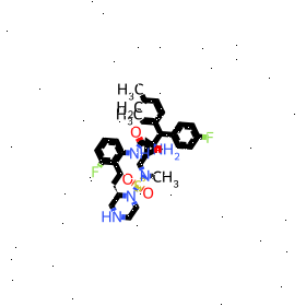 C=C(C)/C=C\C(=C/C)C(c1ccc(F)cc1)[C@H](N)C(=O)Nc1cccc(F)c1CC[C@H]1CNCCN1S(=O)(=O)N(C)CC1CC1